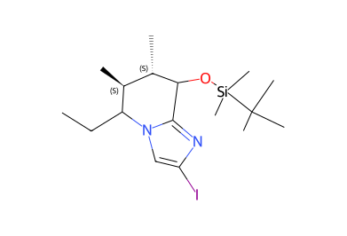 CCC1[C@@H](C)[C@H](C)C(O[Si](C)(C)C(C)(C)C)c2nc(I)cn21